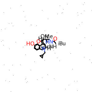 CC[C@H](C)[C@H](NC(C)=O)C(=O)NC[C@H]1C[C@@]23CCC1(OC)[C@@H]1Oc4c(O)ccc5c4[C@@]12CCN(CC1CC1)[C@@H]3C5